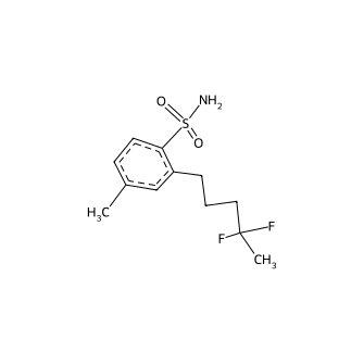 Cc1ccc(S(N)(=O)=O)c(CCCC(C)(F)F)c1